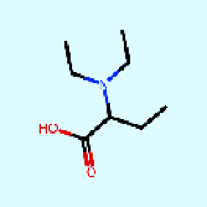 CCC(C(=O)O)N(CC)CC